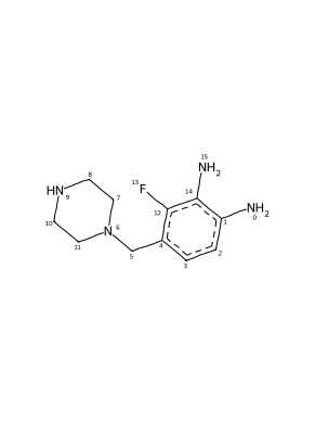 Nc1ccc(CN2CCNCC2)c(F)c1N